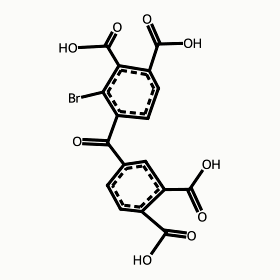 O=C(O)c1ccc(C(=O)c2ccc(C(=O)O)c(C(=O)O)c2Br)cc1C(=O)O